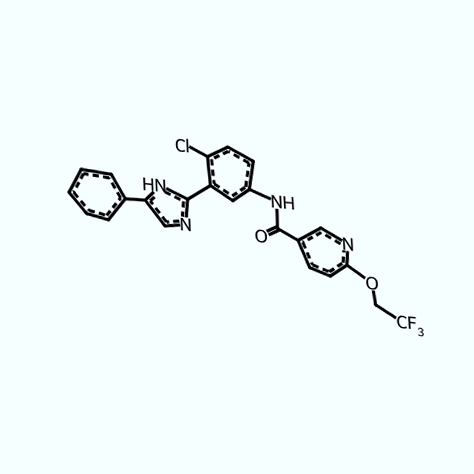 O=C(Nc1ccc(Cl)c(-c2ncc(-c3ccccc3)[nH]2)c1)c1ccc(OCC(F)(F)F)nc1